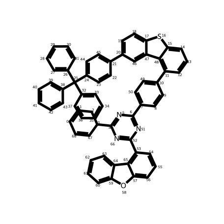 C1=CCC(c2nc(-c3ccc(-c4cccc5sc6ccc(-c7ccc(C(c8ccccc8)(c8ccccc8)c8ccccc8)cc7)cc6c45)cc3)nc(-c3cccc4oc5ccccc5c34)n2)C=C1